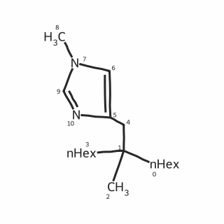 CCCCCCC(C)(CCCCCC)Cc1cn(C)cn1